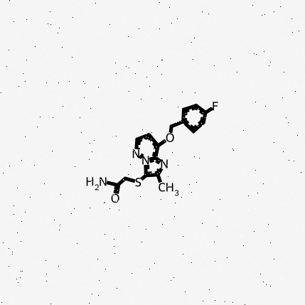 Cc1nc2c(OCc3ccc(F)cc3)ccnn2c1SCC(N)=O